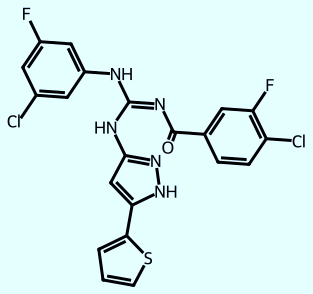 O=C(/N=C(/Nc1cc(F)cc(Cl)c1)Nc1cc(-c2cccs2)[nH]n1)c1ccc(Cl)c(F)c1